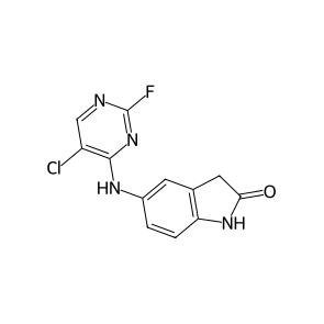 O=C1Cc2cc(Nc3nc(F)ncc3Cl)ccc2N1